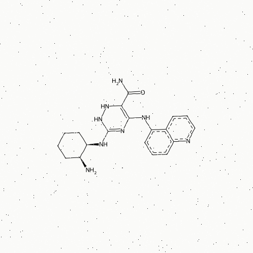 NC(=O)C1=C(Nc2cccc3ncccc23)N=C(N[C@@H]2CCCC[C@@H]2N)NN1